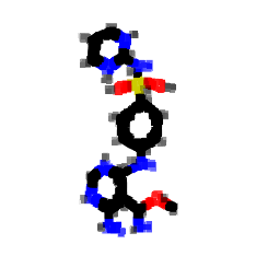 COC(=N)c1c(N)ncnc1Nc1ccc(S(=O)(=O)Nc2ncccn2)cc1